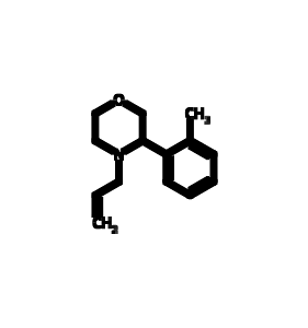 C=CCN1CCOCC1c1ccccc1C